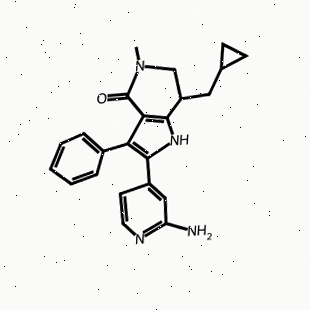 CN1CC(CC2CC2)c2[nH]c(-c3ccnc(N)c3)c(-c3ccccc3)c2C1=O